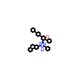 c1ccc(C2=NC(c3cc(-c4ccc(-c5ccccc5)cc4)cc4oc5ccccc5c34)=NC(c3ccc4c(ccc5ccccc54)c3)N2)cc1